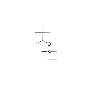 CC(O[Si](C)(C)C(C)(C)C)C(C)(C)C